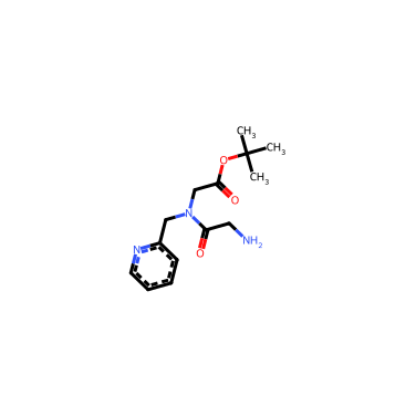 CC(C)(C)OC(=O)CN(Cc1ccccn1)C(=O)CN